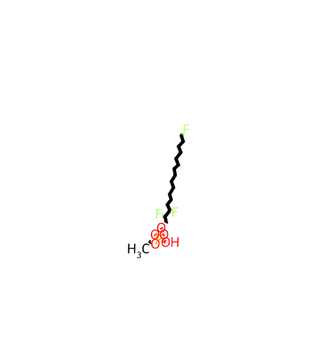 CCOP(=O)(O)OOCC(F)C(F)CCCCCCCCCCCCCF